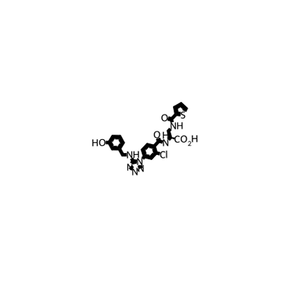 O=C(NC[C@H](NC(=O)c1ccc(-n2nnnc2NCc2cccc(O)c2)cc1Cl)C(=O)O)c1cccs1